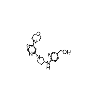 OCc1ccc(NC2CCN(c3cc(N4CCOCC4)ncn3)C2)nc1